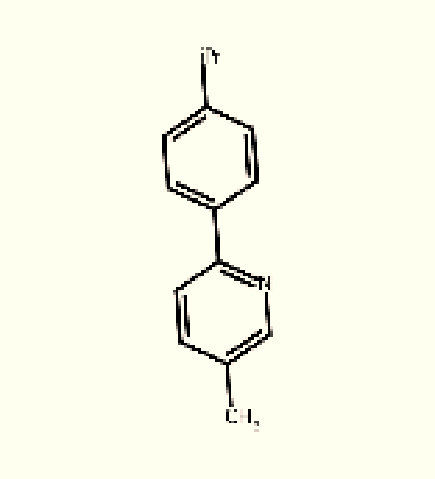 Cc1ccc(-c2ccc(C(C)C)cc2)nc1